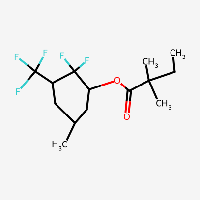 CCC(C)(C)C(=O)OC1CC(C)CC(C(F)(F)F)C1(F)F